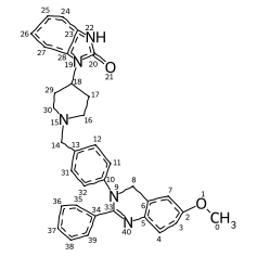 COc1ccc2c(c1)CN(c1ccc(CN3CCC(n4c(=O)[nH]c5ccccc54)CC3)cc1)C(c1ccccc1)=N2